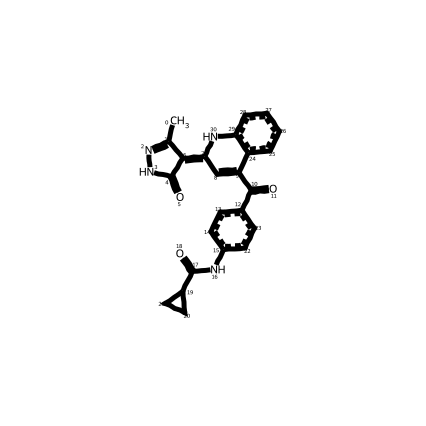 CC1=NNC(=O)C1=C1C=C(C(=O)c2ccc(NC(=O)C3CC3)cc2)c2ccccc2N1